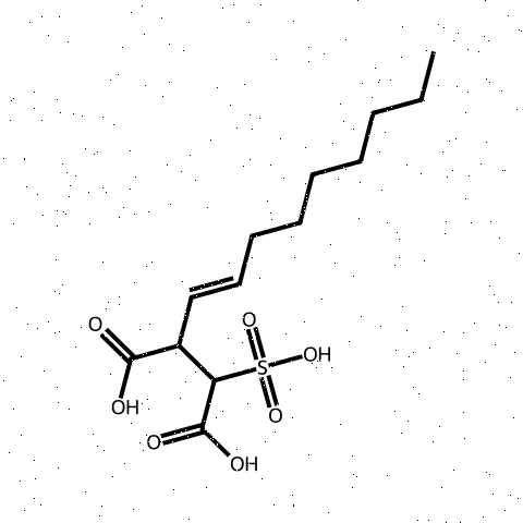 CCCCCCCC=CC(C(=O)O)C(C(=O)O)S(=O)(=O)O